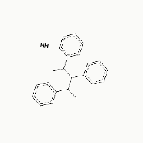 CC(c1ccccc1)C(c1ccccc1)C(C)c1ccccc1.[HH]